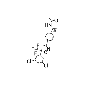 CC(=O)N[C@@H](C)c1ccc(C2=NOC(c3cc(Cl)cc(Cl)c3)(C(F)(F)F)C2)cc1